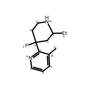 CCC1CC(F)(c2ncccc2C)CCN1